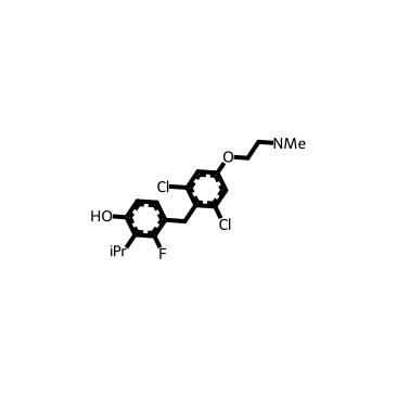 CNCCOc1cc(Cl)c(Cc2ccc(O)c(C(C)C)c2F)c(Cl)c1